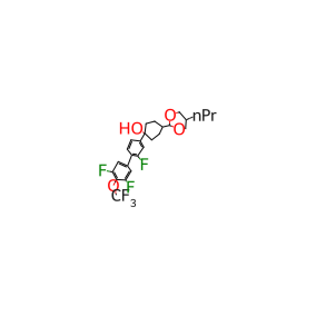 CCCC1COC(C2CCC(O)(c3ccc(-c4cc(F)c(OC(F)(F)F)c(F)c4)c(F)c3)CC2)OC1